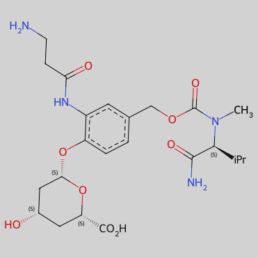 CC(C)[C@@H](C(N)=O)N(C)C(=O)OCc1ccc(O[C@H]2C[C@@H](O)C[C@@H](C(=O)O)O2)c(NC(=O)CCN)c1